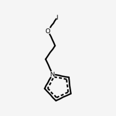 IOCCn1cccc1